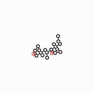 c1ccc(-c2ccc3c(-c4c5ccccc5c(-c5ccc(-c6cc(-c7ccccc7)cc7c(-c8c9ccccc9c(-c9cccc%10oc%11ccc(-c%12ccccc%12)cc%11c9%10)c9ccccc89)cccc67)c6oc7ccc(-c8ccccc8)cc7c56)c5ccccc45)cccc3c2)cc1